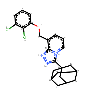 Clc1cccc(OCc2cccn3c(C45CC6CC(CC(C6)C4)C5)nnc23)c1Cl